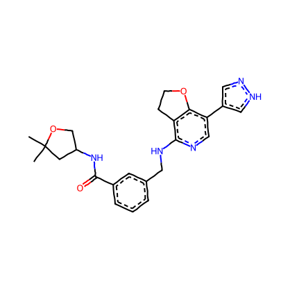 CC1(C)CC(NC(=O)c2cccc(CNc3ncc(-c4cn[nH]c4)c4c3CCO4)c2)CO1